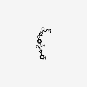 CN(C)CCC(=O)N1CC(Oc2ccc(NC(=O)N3CC(c4cccnc4)C3)cc2)C1